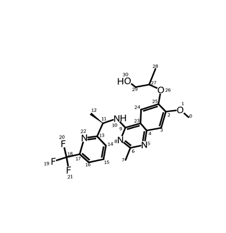 COc1cc2nc(C)nc(N[C@H](C)c3cccc(C(F)(F)F)n3)c2cc1OC(C)CO